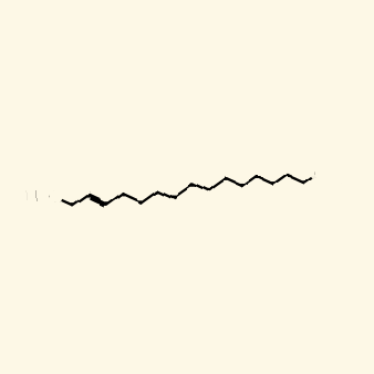 CC/[C]=C/CCCCCCCCCCCCC